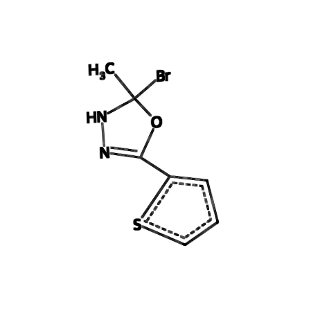 CC1(Br)NN=C(c2cccs2)O1